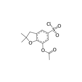 CC(=O)Oc1cc(S(=O)(=O)Cl)cc2c1OC(C)(C)C2